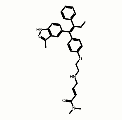 CCC(=C(c1ccc(OCCNCC=CC(=O)N(C)C)cc1)c1ccc2[nH]nc(C)c2c1)c1ccccc1